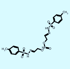 Cc1ccc(S(=O)(=O)N/N=C/CO[PH](=O)OC/C=N/NS(=O)(=O)c2ccc(C)cc2)cc1